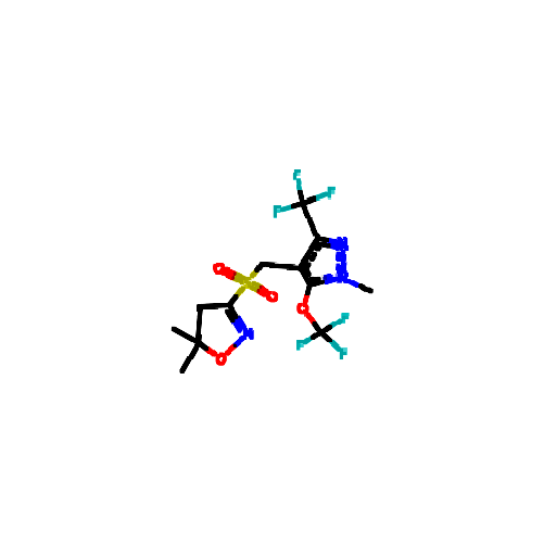 Cn1nc(C(F)(F)F)c(CS(=O)(=O)C2=NOC(C)(C)C2)c1OC(F)(F)F